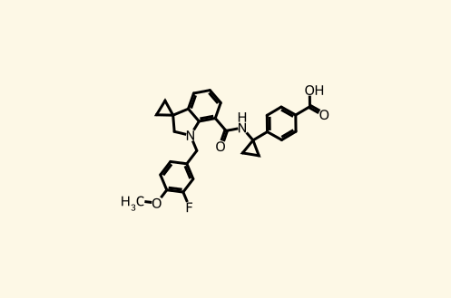 COc1ccc(CN2CC3(CC3)c3cccc(C(=O)NC4(c5ccc(C(=O)O)cc5)CC4)c32)cc1F